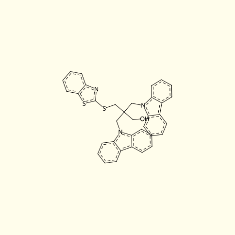 OCC(CSc1nc2ccccc2s1)(Cn1c2ccccc2c2ccccc21)Cn1c2ccccc2c2ccccc21